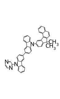 CC1(C)c2ccc(-n3c4ccccc4c4cc(-c5ccc6c(c5)c5ccccc5n6-c5cnccn5)ccc43)cc2-c2c1ccc1ccccc21